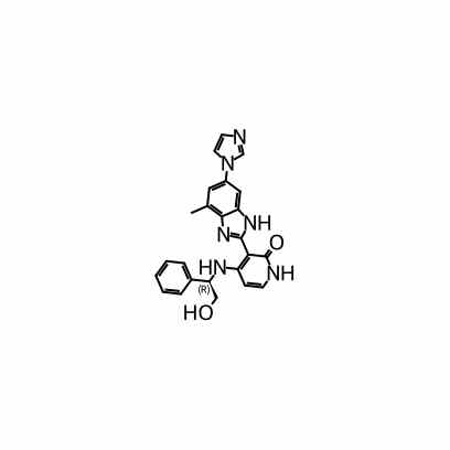 Cc1cc(-n2ccnc2)cc2[nH]c(-c3c(N[C@@H](CO)c4ccccc4)cc[nH]c3=O)nc12